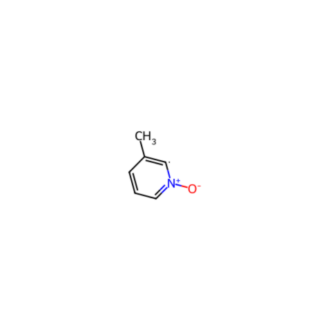 Cc1[c][n+]([O-])ccc1